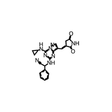 N#CC(Nc1nc(NC2CC2)n2ncc(C=C3CC(=O)NC3=O)c2n1)c1ccccc1